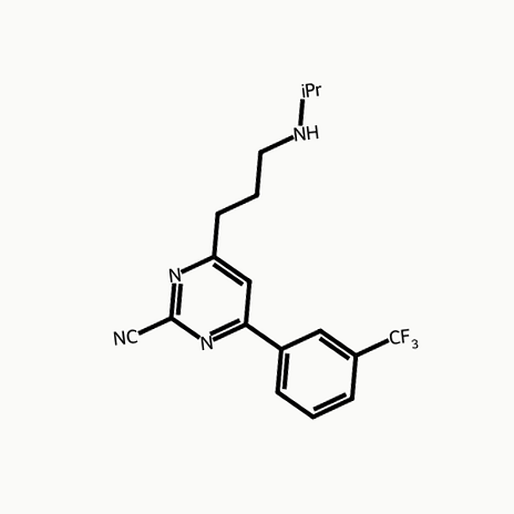 CC(C)NCCCc1cc(-c2cccc(C(F)(F)F)c2)nc(C#N)n1